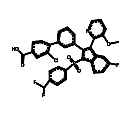 COc1cccnc1-c1c(-c2cccc(-c3ccc(C(=O)O)cc3Cl)c2)n(S(=O)(=O)c2ccc(C(F)F)cc2)c2ccc(F)cc12